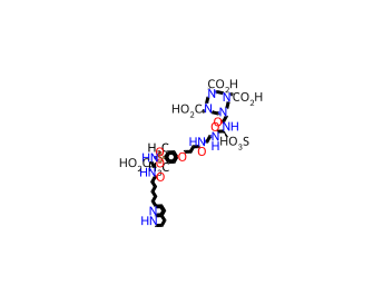 Cc1cc(OCCCC(=O)NCCNC(=O)[C@H](CS(=O)(=O)O)NC(=O)CN2CCN(CC(=O)O)CCN(CC(=O)O)CCN(CC(=O)O)CC2)cc(C)c1S(=O)(=O)N[C@@H](CNC(=O)CCCCCc1ccc2c(n1)NCCC2)C(=O)O